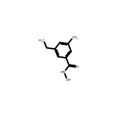 [CH2]Cc1cc(C)cc(C(=O)NO)c1